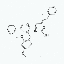 C=C(CN(Cc1ccc(OC)cc1OC)C(=O)[C@@H](CC=CCc1ccccc1)NC(=O)O)c1ccccc1